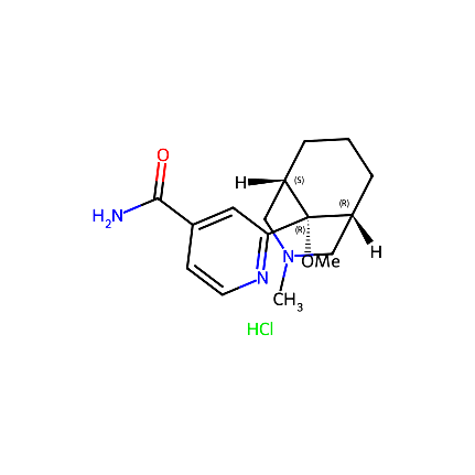 CO[C@@]1(c2cc(C(N)=O)ccn2)[C@@H]2CCC[C@H]1CN(C)C2.Cl